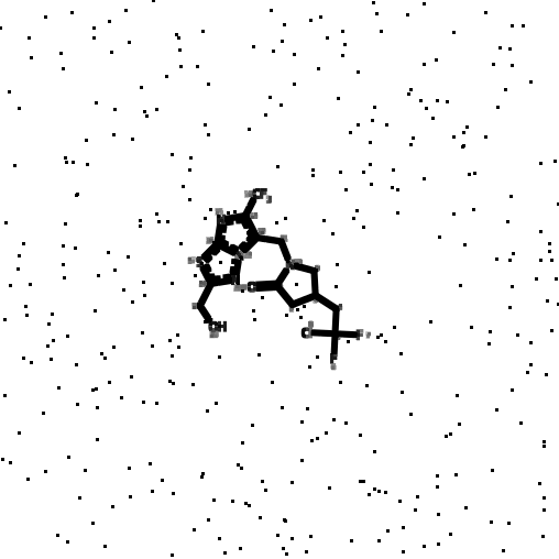 O=C1CC(CC(F)(F)Cl)CN1Cc1c(C(F)(F)F)nc2sc(CO)nn12